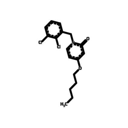 CCCCCOc1ccn(Cc2cccc(Cl)c2Cl)c(=O)c1